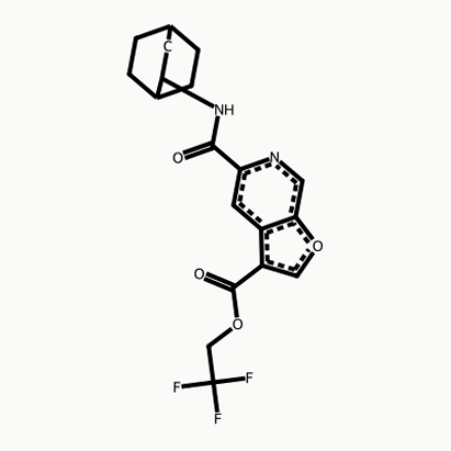 O=C(NC1CC2CCC1CC2)c1cc2c(C(=O)OCC(F)(F)F)coc2cn1